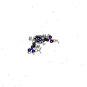 Cc1cccc(N(c2cccc(C)c2)c2ccc3c(c2)C(C)(C)C2=CC(c4cc5c6c(c4)C(C)(C)c4cccc7c4N6C4=C(CC(c6ccc8c(c6)C(C)(C)c6cc(N(c9cccc(C)c9)c9cccc(C)c9)ccc6-8)C=C4C5(C)C)C7(C)C)CC=C23)c1